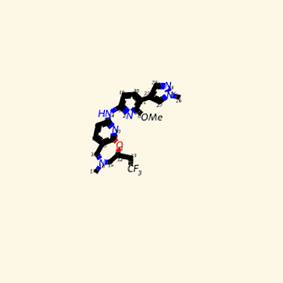 COc1nc(Nc2ccc3c(n2)OC(CC(F)(F)F)CN(C)C3)ccc1-c1cnn(C)c1